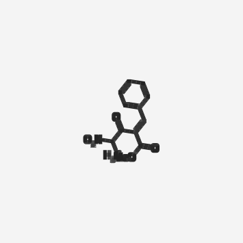 COC(=O)C(=Cc1ccccc1)C(=O)C(C)[N+](=O)[O-]